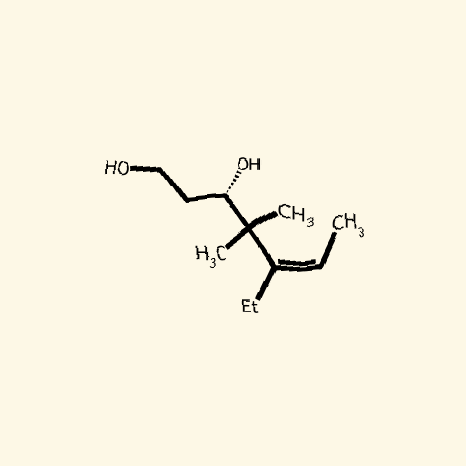 CC=C(CC)C(C)(C)[C@@H](O)CCO